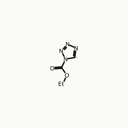 CCOC(=O)n1[c]nnn1